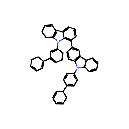 C1=CCCC(C2=CCCC(n3c4c(c5cccc(-c6ccc7c(c6)C6C=CC=CC6N7c6ccc(C7C=CC=CC7)cc6)c53)C=CCC4)=C2)=C1